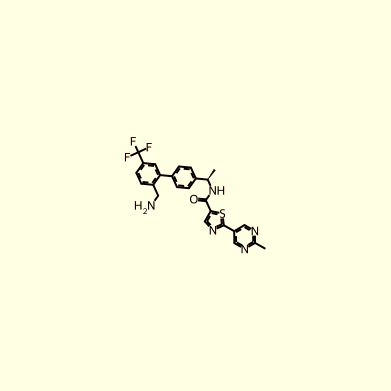 Cc1ncc(-c2ncc(C(=O)N[C@H](C)c3ccc(-c4cc(C(F)(F)F)ccc4CN)cc3)s2)cn1